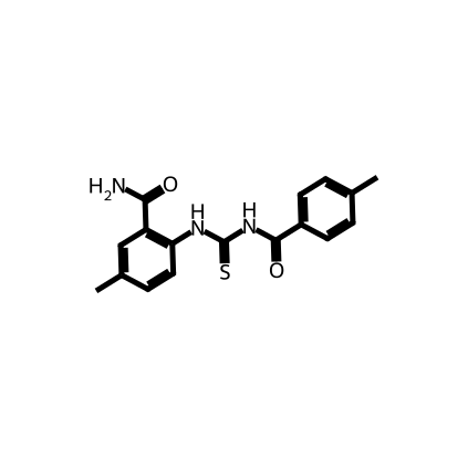 Cc1ccc(C(=O)NC(=S)Nc2ccc(C)cc2C(N)=O)cc1